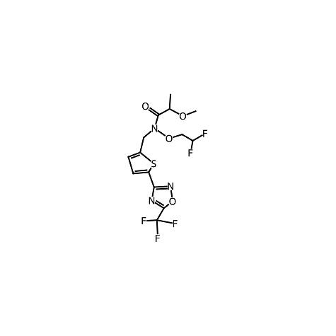 COC(C)C(=O)N(Cc1ccc(-c2noc(C(F)(F)F)n2)s1)OCC(F)F